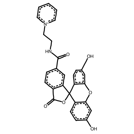 O=C(NCC[n+]1ccccc1)c1ccc2c(c1)C1(OC2=O)c2ccc(O)cc2Oc2cc(O)ccc21